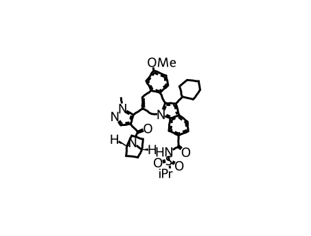 COc1ccc2c(c1)C=C(c1c(C(=O)N3[C@H]4CC[C@@H]3CC4)cnn1C)Cn1c-2c(C2CCCCC2)c2ccc(C(=O)NS(=O)(=O)C(C)C)cc21